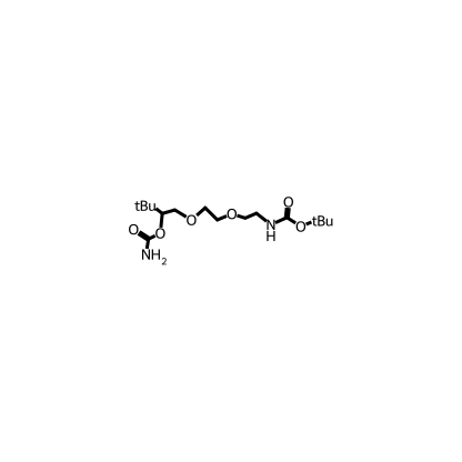 CC(C)(C)OC(=O)NCCOCCOCC(OC(N)=O)C(C)(C)C